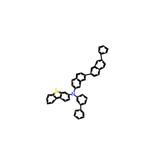 c1ccc(-c2cccc(N(c3ccc4ccc(-c5ccc6ccc(-c7ccccc7)cc6c5)cc4c3)c3ccc4c(c3)sc3ccccc34)c2)cc1